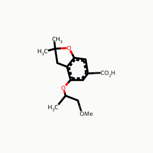 COCC(C)Oc1cc(C(=O)O)cc2c1CC(C)(C)O2